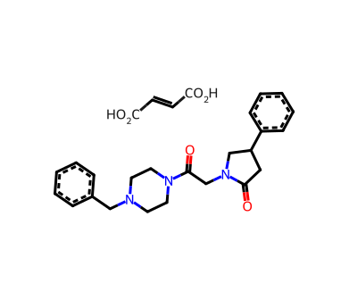 O=C(CN1CC(c2ccccc2)CC1=O)N1CCN(Cc2ccccc2)CC1.O=C(O)C=CC(=O)O